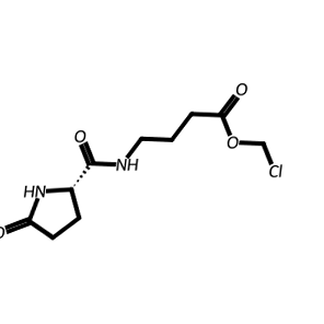 O=C1CC[C@@H](C(=O)NCCCC(=O)OCCl)N1